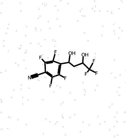 N#Cc1c(F)c(F)c(C(O)CC(O)C(F)(F)F)c(F)c1F